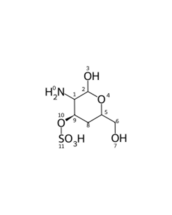 NC1C(O)OC(CO)C[C@H]1OS(=O)(=O)O